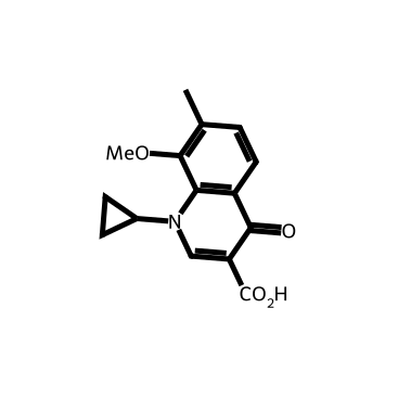 COc1c(C)ccc2c(=O)c(C(=O)O)cn(C3CC3)c12